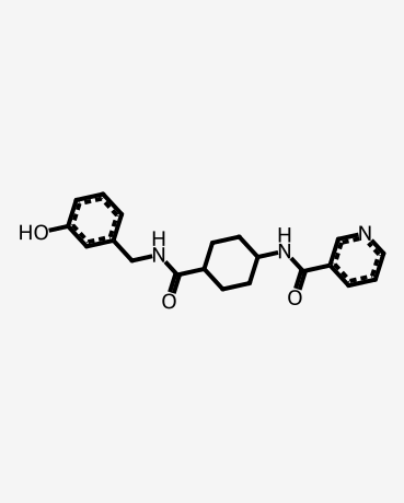 O=C(NC1CCC(C(=O)NCc2cccc(O)c2)CC1)c1cccnc1